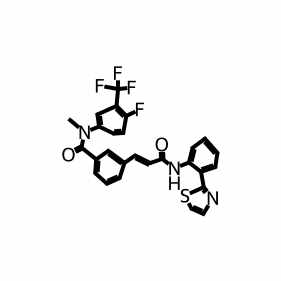 CN(C(=O)c1cccc(C=CC(=O)Nc2ccccc2-c2nccs2)c1)c1ccc(F)c(C(F)(F)F)c1